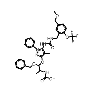 COCc1ccc(OC(F)(F)F)c(CNC(=O)Nc2c(C)c(OC(OCc3ccccc3)C(C)NC(=O)O)nn2-c2ccccc2)c1